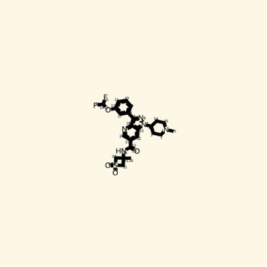 CN1CCC(n2nc(-c3cccc(OC(F)F)c3)c3ncc(C(=O)NC4(C)CS(=O)(=O)C4)cc32)CC1